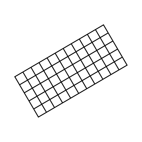 C1C2C3C4C5CC6C7C8C9C%10C%11C%12C%13C%14C%15CC%16C%17C%18C%19CC%20C%21C%22C%23C%24C%25C%26C%27C%28C1C21C32C43C56C74C85C96C%107C%118C%129C%13%10C%14%11C%16%15C%17%12C%18%13C%19%20C%21%14C%22%15C%23%16C%24%17C%25%18C%26%19C%27%20C%281C21C34C52C%201C%191C62C72C%181C%171C%163C%154C%13%14C%12%11C%104C93C812